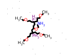 CCOCCCC(P)(CCCOCC)CCC(CC(P)(CCCOCC)CCCOCC)OCCN